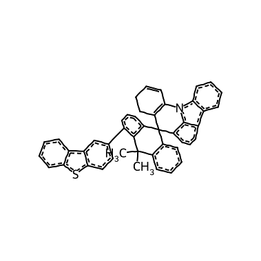 CC1(C)c2ccccc2C2(C3=C(C=CCC3)n3c4ccccc4c4cccc2c43)c2cccc(-c3ccc4sc5ccccc5c4c3)c21